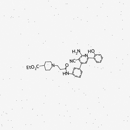 CCOC(=O)C1CCN(CCC(=O)Nc2cccc(-c3cc(-c4ccccc4O)nc(N)c3C#N)c2)CC1